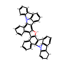 C1=Cc2c(c3cccc4c5c6oc7c(c8ccccc8c8c7c7cccc9c%10ccccc%10n8c97)c6c6ccccc6c5n2c34)CC1